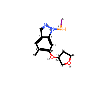 Cc1cc2cnn(PI)c2cc1O[C@H]1CCOC1